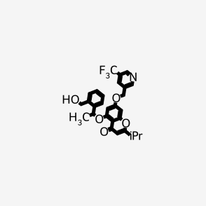 CC(C)c1cc(=O)c2c(OC(C)c3ccccc3CO)cc(OCc3cncc(C(F)(F)F)c3)cc2o1